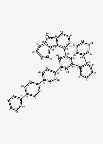 c1ccc(-c2ccc(-c3ccc(-c4nc(-c5ccccc5-c5ccccc5)nc(-c5cccc6oc7ccccc7c56)n4)cc3)cc2)cc1